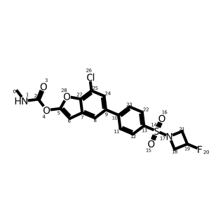 CNC(=O)Oc1cc2cc(-c3ccc(S(=O)(=O)N4CC(F)C4)cc3)cc(Cl)c2o1